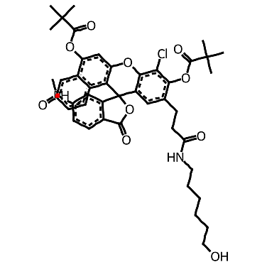 C[PH](=O)c1ccc2c(c1)C1(OC2=O)c2cc(CCC(=O)NCCCCCCO)c(OC(=O)C(C)(C)C)c(Cl)c2Oc2cc(OC(=O)C(C)(C)C)c3ccccc3c21